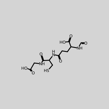 O=CNC(CCC(=O)NC(CS)C(=O)NCC(=O)O)C(=O)O